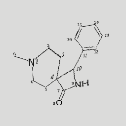 CN1CCC2(CC1)C(=O)NC2c1ccccc1